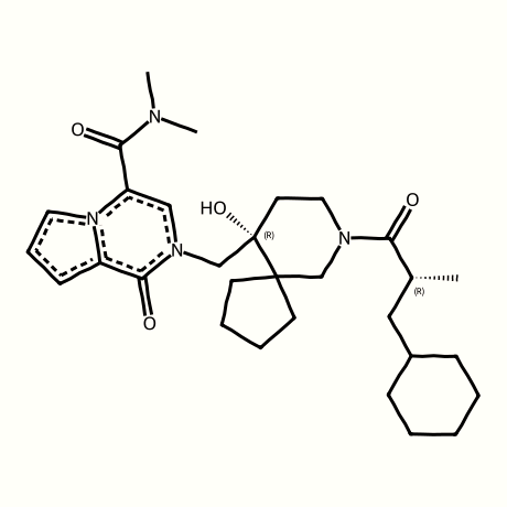 C[C@H](CC1CCCCC1)C(=O)N1CC[C@](O)(Cn2cc(C(=O)N(C)C)n3cccc3c2=O)C2(CCCC2)C1